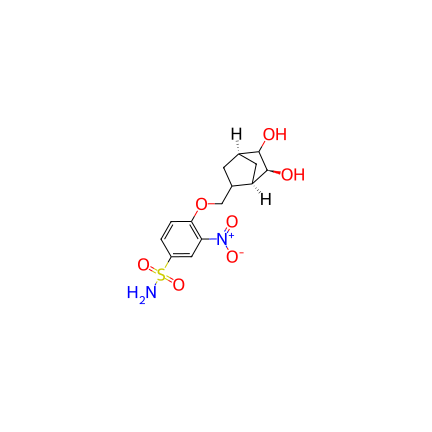 NS(=O)(=O)c1ccc(OCC2C[C@@H]3C[C@H]2[C@H](O)C3O)c([N+](=O)[O-])c1